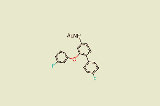 CC(=O)Nc1ccc(-c2ccc(F)cc2)c(Oc2cccc(F)c2)c1